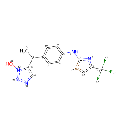 CC(c1ccc(Nc2nc(C(F)(F)F)cs2)cc1)c1cnnn1O